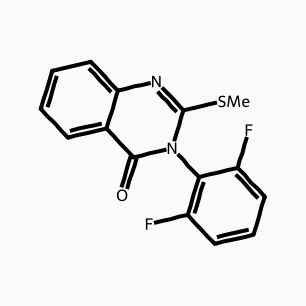 CSc1nc2ccccc2c(=O)n1-c1c(F)cccc1F